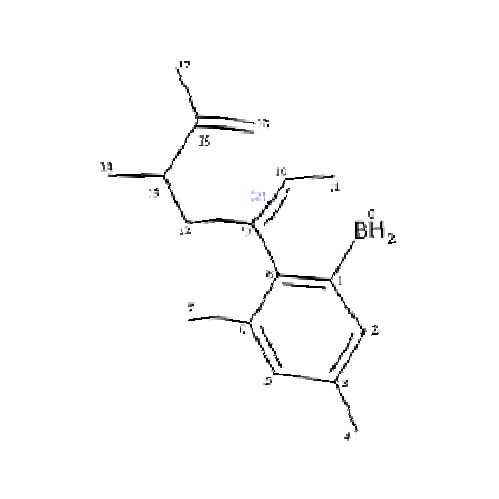 Bc1cc(C)cc(C)c1/C(=C\C)CC(C)C(=C)C